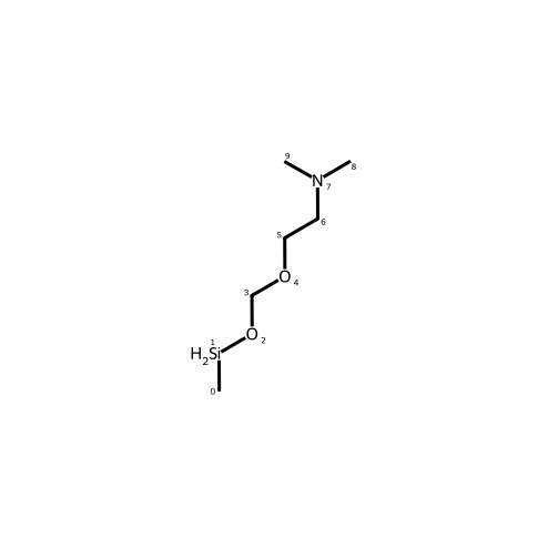 C[SiH2]OCOCCN(C)C